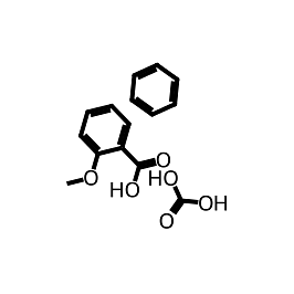 COc1ccccc1C(=O)O.O=C(O)O.c1ccccc1